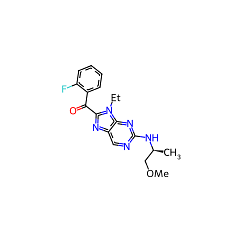 CCn1c(C(=O)c2ccccc2F)nc2cnc(N[C@@H](C)COC)nc21